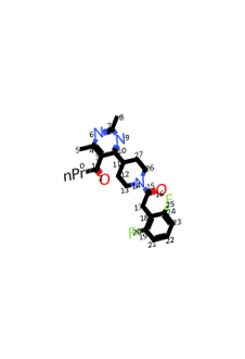 CCCC(=O)c1c(C)nc(C)nc1C1CCN(C(=O)Cc2c(F)cccc2F)CC1